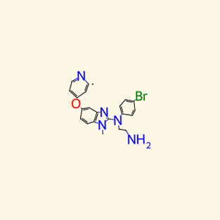 Cn1c(N(CCN)c2ccc(Br)cc2)nc2cc(Oc3c[c]ncc3)ccc21